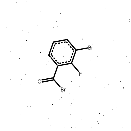 O=C(Br)c1cccc(Br)c1F